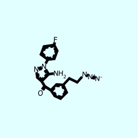 [N-]=[N+]=NCCc1cccc(C(=O)c2cnn(-c3ccc(F)cc3)c2N)c1